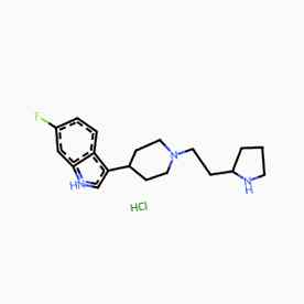 Cl.Fc1ccc2c(C3CCN(CCC4CCCN4)CC3)c[nH]c2c1